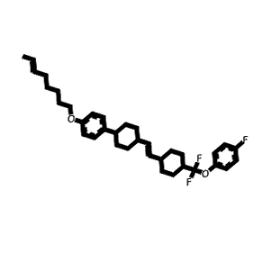 C/C=C/CCCCCOc1ccc(C2CCC(/C=C/C3CCC(C(F)(F)Oc4ccc(F)cc4)CC3)CC2)cc1